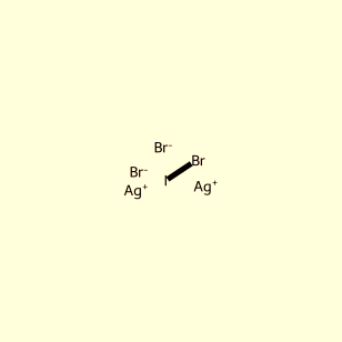 BrI.[Ag+].[Ag+].[Br-].[Br-]